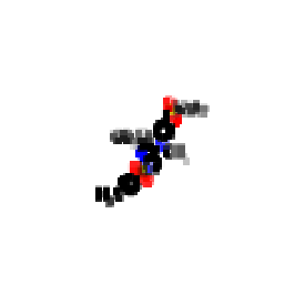 CCOC(=O)c1cnc2c(ccn2S(=O)(=O)c2ccc(C)cc2)c1N(C)[C@H]1CC[C@H](CS(=O)(=O)NC)CC1